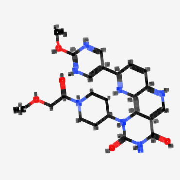 COCC(=O)N1CCC(n2c(=O)[nH]c(=O)c3cnc4ccc(-c5cnc(OC)nc5)nc4c32)CC1